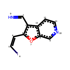 N=Cc1c(/C=C\I)oc2cnccc12